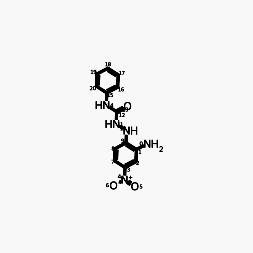 Nc1cc([N+](=O)[O-])ccc1NNC(=O)Nc1ccccc1